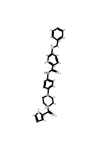 O=C(Nc1ccc(N2CCN(C(=O)c3cccs3)CC2)cc1)c1ccc(OCc2ccccc2)cn1